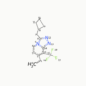 C=Cc1ccn2c(CC3CCC3)nnc2c1C(F)(F)F